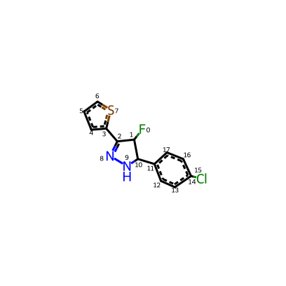 FC1C(c2cccs2)=NNC1c1ccc(Cl)cc1